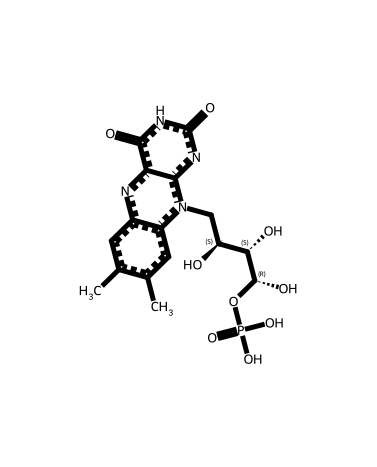 Cc1cc2nc3c(=O)[nH]c(=O)nc-3n(C[C@H](O)[C@H](O)[C@H](O)OP(=O)(O)O)c2cc1C